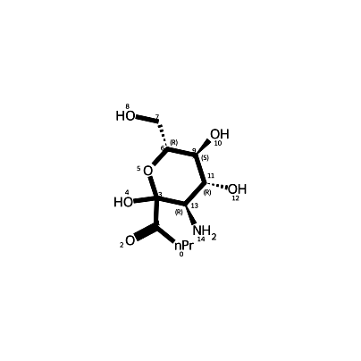 CCCC(=O)C1(O)O[C@H](CO)[C@@H](O)[C@H](O)[C@H]1N